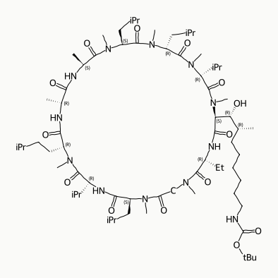 CC[C@H]1NC(=O)[C@H]([C@H](O)[C@H](C)CCCCCCNC(=O)OC(C)(C)C)N(C)C(=O)[C@@H](C(C)C)N(C)C(=O)[C@@H](CC(C)C)N(C)C(=O)[C@H](CC(C)C)N(C)C(=O)[C@H](C)NC(=O)[C@@H](C)NC(=O)[C@@H](CCC(C)C)N(C)C(=O)[C@@H](C(C)C)NC(=O)[C@H](CC(C)C)N(C)C(=O)CN(C)C1=O